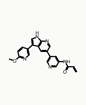 C=CC(=O)Nc1cncc(-c2cnc3[nH]cc(-c4ccc(OC)nc4)c3c2)c1